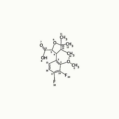 COc1c(C2C(C(=O)O)OC(C)(C)C2C)ccc(F)c1F